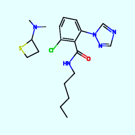 CCCCCNC(=O)c1c(Cl)cccc1-n1cncn1.CN(C)C1CCS1